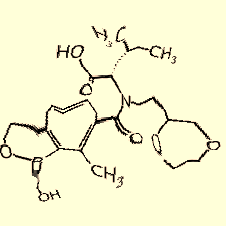 Cc1c(C(=O)N(CC2COCCO2)[C@H](C(=O)O)C(C)C)ccc2c1B(O)OC2